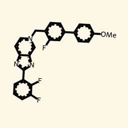 COc1ccc(-c2ccc(Cn3ccc4nc(-c5cccc(F)c5F)nc-4c3)c(F)c2)cc1